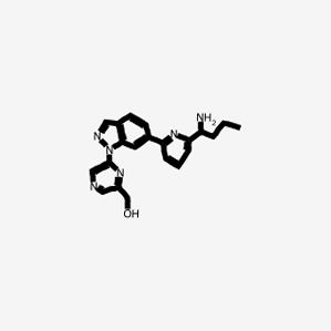 CCCC(N)c1cccc(-c2ccc3cnn(-c4cncc(CO)n4)c3c2)n1